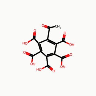 CC(=O)c1c(C(=O)O)c(C(=O)O)c(C(=O)O)c(C(=O)O)c1C(=O)O